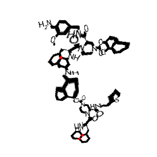 COc1cc(CNC(=O)[C@@H]2CN(C(=O)Oc3ccc4ccccc4c3Cl)CCN2C(=O)[C@@H](CC2CCCCC2)NC2CCCC(NCc3ccc(OC(=O)N4CCN(C(=O)[C@@H](CC5CCCCC5)NC5CCCCC5)[C@H](C(=O)NCc5cccs5)C4)c4ccccc34)C2)ccc1CN